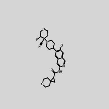 N#CC1(N2CCC(c3cc4cc(NC(=O)C5CC56CCOCC6)ncc4cc3Cl)CC2)CCOCC1F